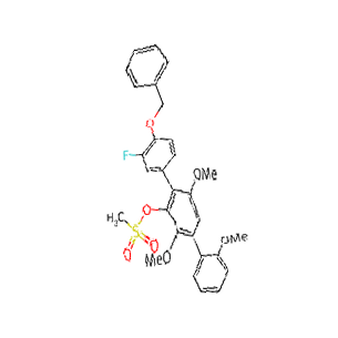 COc1ccccc1-c1cc(OC)c(-c2ccc(OCc3ccccc3)c(F)c2)c(OS(C)(=O)=O)c1OC